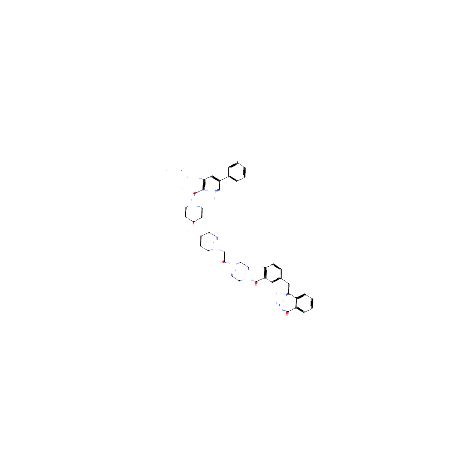 CC(=O)Nc1cc(-c2cccc(Cl)c2)cnc1C(=O)N1CCC(OC2CCN(CC(=O)N3CCN(C(=O)c4cc(Cc5n[nH]c(=O)c6ccccc56)ccc4F)CC3)CC2)CC1